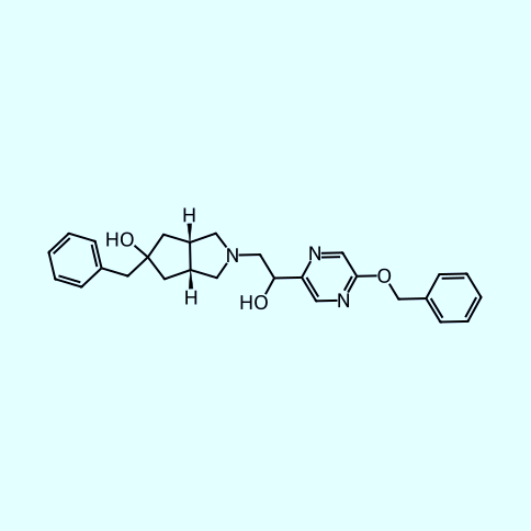 OC(CN1C[C@@H]2CC(O)(Cc3ccccc3)C[C@@H]2C1)c1cnc(OCc2ccccc2)cn1